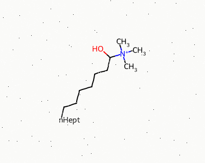 CCCCCCCCCCCCCC(O)[N+](C)(C)C